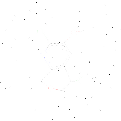 COc1cc2c(nc1Cl)COCC2Cl